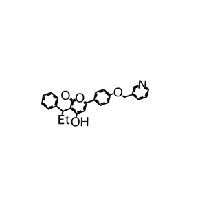 CCC(c1ccccc1)c1c(O)cc(-c2ccc(OCc3cccnc3)cc2)oc1=O